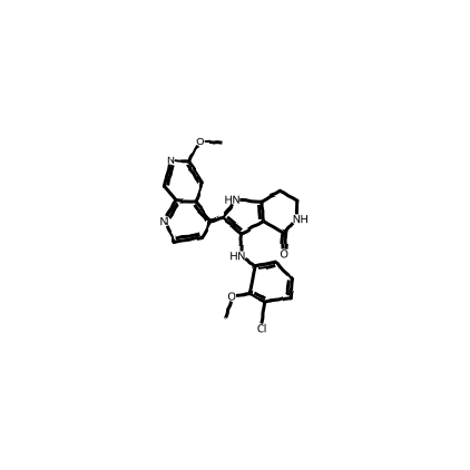 COc1cc2c(-c3[nH]c4c(c3Nc3cccc(Cl)c3OC)C(=O)NCC4)ccnc2cn1